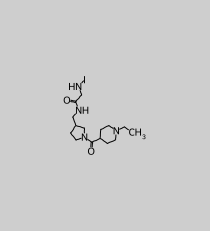 CCN1CCC(C(=O)N2CCC(CNC(=O)CNI)C2)CC1